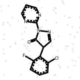 O=C1C(c2c(F)cccc2Cl)C=NN1c1ncccn1